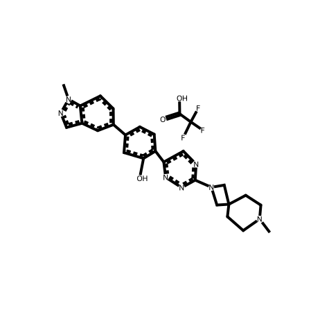 CN1CCC2(CC1)CN(c1ncc(-c3ccc(-c4ccc5c(cnn5C)c4)cc3O)nn1)C2.O=C(O)C(F)(F)F